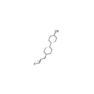 N#C[C@H]1CC[C@H]([C@H]2CC[C@H](C/C=C/F)CC2)CC1